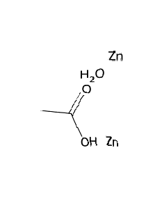 CC(=O)O.O.[Zn].[Zn]